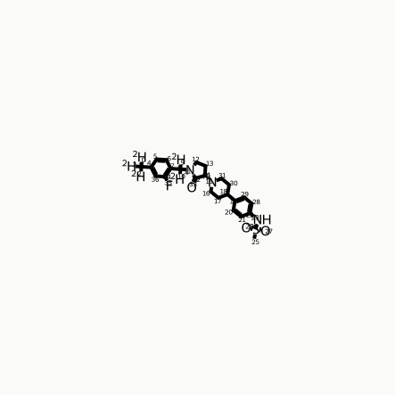 [2H]C([2H])([2H])c1ccc(C([2H])([2H])N2CC[C@@H](N3CCC(c4ccc(NS(C)(=O)=O)cc4)CC3)C2=O)c(F)c1